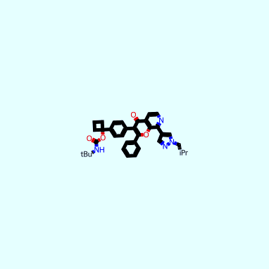 CC(C)Cn1cc(-c2nccc3c(=O)c(-c4ccc(C5(OC(=O)NC(C)(C)C)CCC5)cc4)c(-c4ccccc4)oc23)cn1